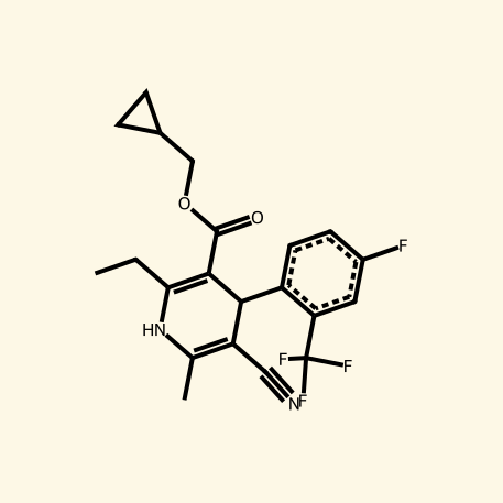 CCC1=C(C(=O)OCC2CC2)C(c2ccc(F)cc2C(F)(F)F)C(C#N)=C(C)N1